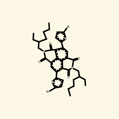 CCCCC(CC)CN1C(=O)c2cc(-c3ccc(Br)s3)c3c4c(cc(-c5ccc(Br)s5)c(c24)C1=O)C(=O)N(CC(CC)CCCC)C3=O